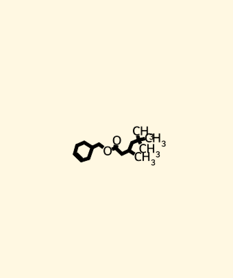 CC(CC(=O)OCC1CC=CCC1)CC(C)(C)C